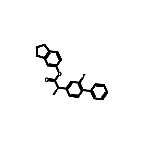 C[C@@H](C(=O)Oc1ccc2c(c1)CCC2)c1ccc(-c2ccccc2)c(F)c1